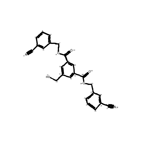 N#Cc1cccc(COC(=O)c2cc(CO)cc(C(=O)OCc3cccc(C#N)c3)c2)c1